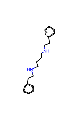 c1ccc(CCNCCCCNCCc2ccccc2)cc1